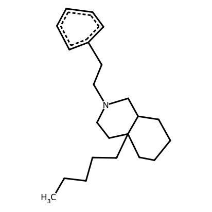 CCCCCC12CCCCC1CN(CCc1ccccc1)CC2